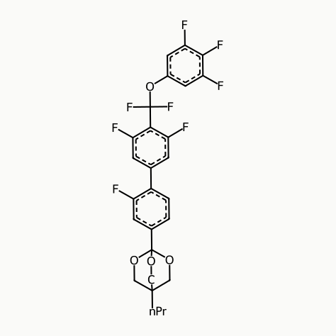 CCCC12COC(c3ccc(-c4cc(F)c(C(F)(F)Oc5cc(F)c(F)c(F)c5)c(F)c4)c(F)c3)(OC1)OC2